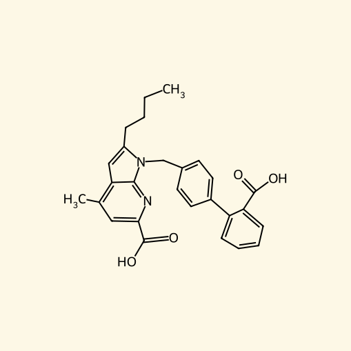 CCCCc1cc2c(C)cc(C(=O)O)nc2n1Cc1ccc(-c2ccccc2C(=O)O)cc1